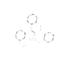 COc1cccc(C2=C(N[C@@H](C)c3ccccc3)CCc3ccccc32)c1